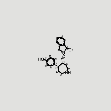 O=C1c2ccccc2CN1OC[C@@H]1CCNCC[C@H]1c1ccc(O)cc1